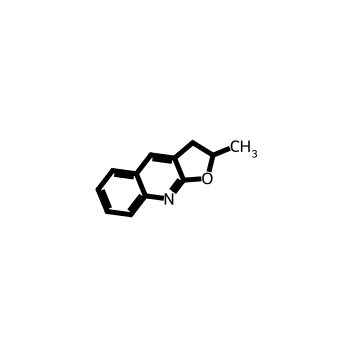 CC1Cc2cc3ccccc3nc2O1